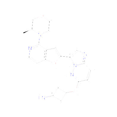 C[C@H]1COCCN1c1nccc2oc(-c3cnc4ccc(OC5CC(N)C5)nn34)cc12